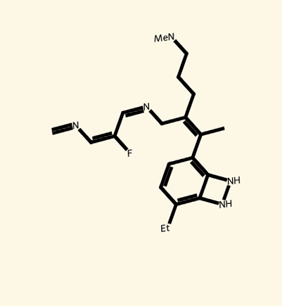 C=N/C=C(F)\C=N/C/C(CCCNC)=C(/C)c1ccc(CC)c2[nH][nH]c12